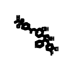 CNS(=O)(=O)c1ccc(C(C)CN2CC=C(c3c[nH]c(-c4ccc(F)c(Cl)c4)c3-c3ccncc3)CC2)cc1.Cl